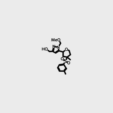 COCn1nc(CO)cc1C1CC(C)(S(=O)(=O)c2cccc(C)c2)CCO1